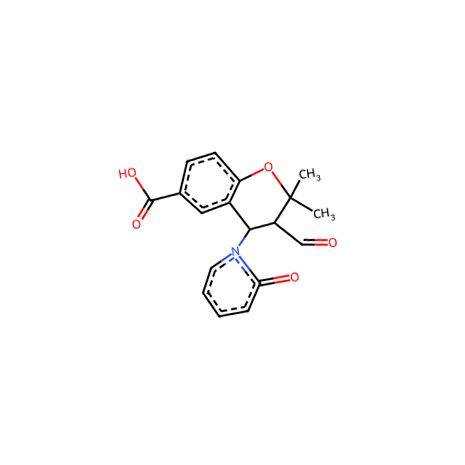 CC1(C)Oc2ccc(C(=O)O)cc2C(n2ccccc2=O)C1C=O